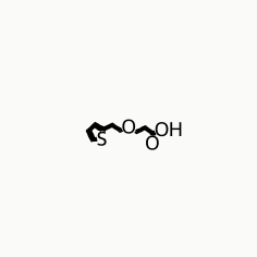 O=C(O)CCOCCc1cccs1